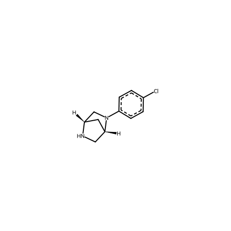 Clc1ccc(N2C[C@@H]3C[C@H]2CN3)cc1